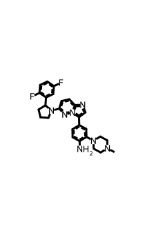 CN1CCN(c2cc(-c3cnc4ccc(N5CCCC5c5cc(F)ccc5F)nn34)ccc2N)CC1